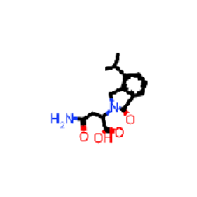 CC(C)c1cccc2c1CN(C(CC(N)=O)C(=O)O)C2=O